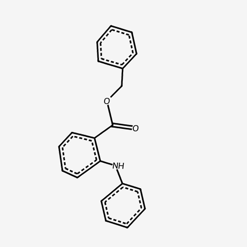 O=C(OCc1ccccc1)c1ccccc1Nc1ccccc1